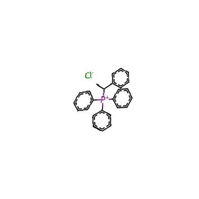 CC(c1ccccc1)[P+](c1ccccc1)(c1ccccc1)c1ccccc1.[Cl-]